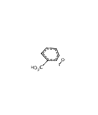 O=C(O)c1ccccc1.[O]I